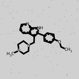 CCOc1ccc(-c2[nH]c3ncccc3c2CN2CCN(C)CC2)cc1